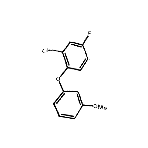 COc1cccc(Oc2c[c]c(F)cc2Cl)c1